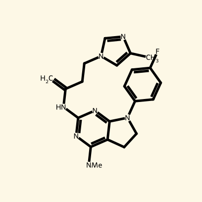 C=C(CCn1cnc(C)c1)Nc1nc(NC)c2c(n1)N(c1ccc(F)cc1)CC2